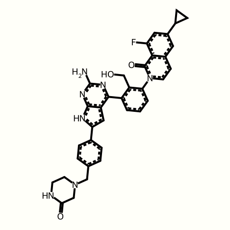 Nc1nc(-c2cccc(-n3ccc4cc(C5CC5)cc(F)c4c3=O)c2CO)c2cc(-c3ccc(CN4CCNC(=O)C4)cc3)[nH]c2n1